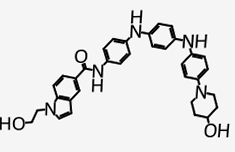 O=C(Nc1ccc(Nc2ccc(Nc3ccc(N4CCC(O)CC4)cc3)cc2)cc1)c1ccc2c(ccn2CCO)c1